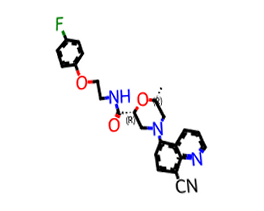 C[C@@H]1CN(c2ccc(C#N)c3ncccc23)C[C@H](C(=O)NCCOc2ccc(F)cc2)O1